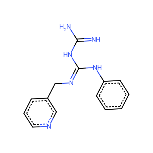 N=C(N)NC(=NCc1cccnc1)Nc1ccccc1